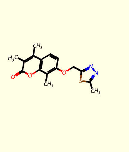 Cc1nnc(COc2ccc3c(C)c(C)c(=O)oc3c2C)s1